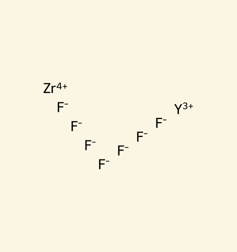 [F-].[F-].[F-].[F-].[F-].[F-].[F-].[Y+3].[Zr+4]